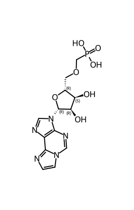 O=P(O)(O)COC[C@H]1O[C@@H](n2cnc3c2ncn2ccnc32)[C@H](O)[C@@H]1O